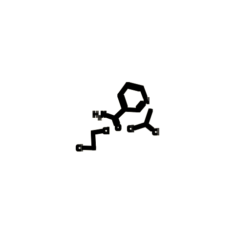 CC(Cl)Cl.ClCCCl.NC(=O)c1cccnc1